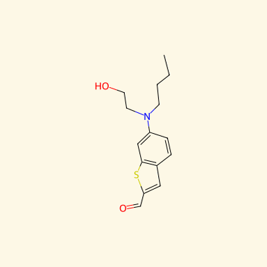 CCCCN(CCO)c1ccc2cc(C=O)sc2c1